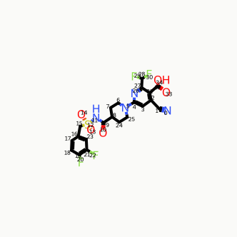 N#Cc1cc(N2CCC(C(=O)NS(=O)(=O)Cc3ccc(F)c(F)c3)CC2)nc(C(F)F)c1C(=O)O